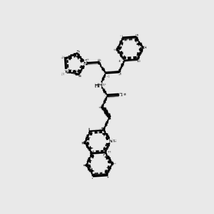 O=C(/C=C/c1ccc2ccccc2n1)NC(Cc1ccccc1)Cn1ccnc1